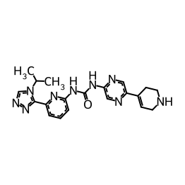 CC(C)n1cnnc1-c1cccc(NC(=O)Nc2cnc(C3=CCNCC3)cn2)n1